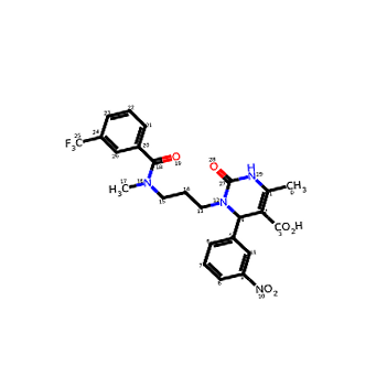 CC1=C(C(=O)O)C(c2cccc([N+](=O)[O-])c2)N(CCCN(C)C(=O)c2cccc(C(F)(F)F)c2)C(=O)N1